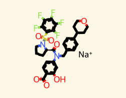 O=C([O-])c1ccc(N(Cc2ccc(C3CCOCC3)cc2)C(=O)[C@H]2CCCN2S(=O)(=O)c2c(F)c(F)c(F)c(F)c2F)cc1O.[Na+]